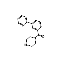 O=C(c1cccc(-c2ccccn2)c1)N1CCNCC1